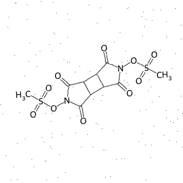 CS(=O)(=O)ON1C(=O)C2C(C1=O)C1C(=O)N(OS(C)(=O)=O)C(=O)C21